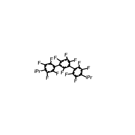 CC(C)c1c(F)c(F)c(-c2c(F)c(F)c(F)c(-c3c(F)c(F)c(C(C)C)c(F)c3F)c2F)c(F)c1F